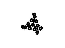 Cc1ccc(N(c2ccc(C)cc2)c2c3ccccc3c(-c3cc(-c4c5ccccc5c(-c5ccc6ccccc6c5)c5ccccc45)cc(-c4c5ccccc5c(-c5ccc6ccccc6c5)c5ccccc45)c3)c3ccccc23)cc1